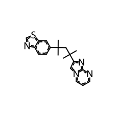 CC(C)(CC(C)(C)c1cn2cccnc2n1)c1ccc2ncsc2c1